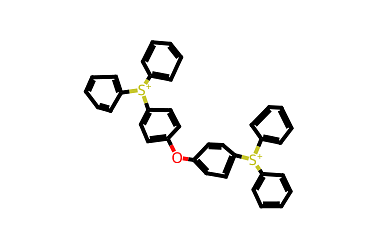 c1ccc([S+](c2ccccc2)c2ccc(Oc3ccc([S+](c4ccccc4)c4ccccc4)cc3)cc2)cc1